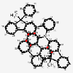 CC1(C)c2ccccc2-c2ccc(N(c3ccccc3-c3ccc4c(c3)C(C)(c3ccccc3)c3ccccc3-4)c3ccccc3-c3cccc4cccc(-c5ccccc5)c34)cc21